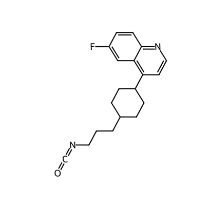 O=C=NCCCC1CCC(c2ccnc3ccc(F)cc23)CC1